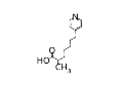 CC(CCCCCc1ccncc1)C(=O)O